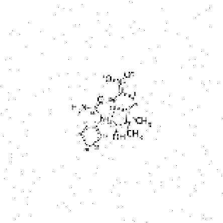 CC1(C)c2ccc([N+](=O)[O-])cc2[C@@H](N(C(N)=O)c2ccccc2)[C@@H]1O